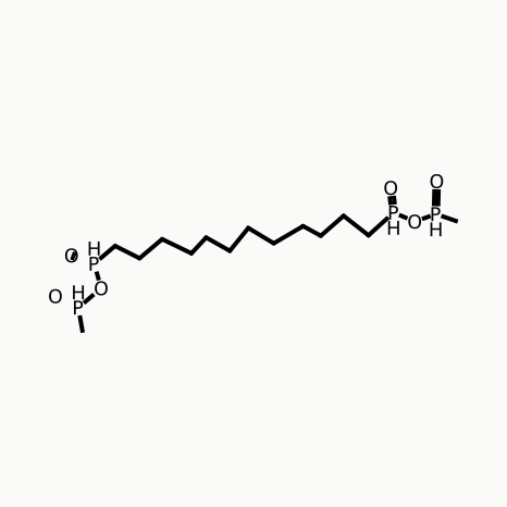 C[PH](=O)O[PH](=O)CCCCCCCCCCCC[PH](=O)O[PH](C)=O